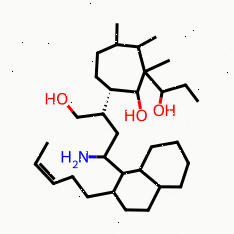 C/C=C\CCC1CCC2CCCCC2C1C(N)CC(CO)[C@@H]1CCC(C)C(C)C(C)(C(O)CC)C1O